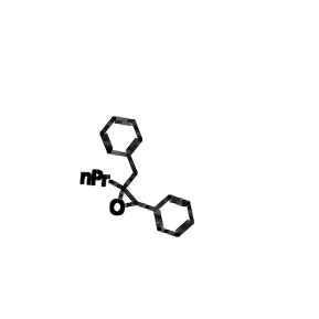 CCCC1(Cc2ccccc2)OC1c1ccccc1